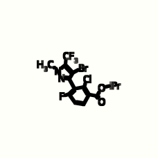 CC(C)OC(=O)c1ccc(F)c(-c2nn(C)c(C(F)(F)F)c2Br)c1Cl